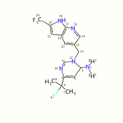 [2H]N([2H])C1C=C(C(C)(C)F)N=CN1Cc1cnc2[nH]c(C(F)(F)F)cc2c1